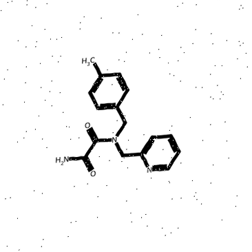 Cc1ccc(CN(Cc2ccccn2)C(=O)C(N)=O)cc1